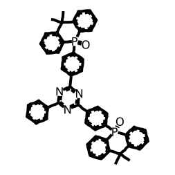 CC1(C)c2ccccc2P(=O)(c2ccc(-c3nc(-c4ccccc4)nc(-c4ccc(P5(=O)c6ccccc6C(C)(C)c6ccccc65)cc4)n3)cc2)c2ccccc21